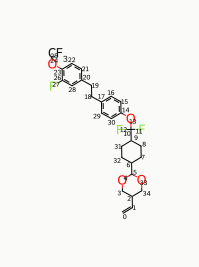 C=CC1COC(C2CCC(C(F)(F)Oc3ccc(CCc4ccc(OC(F)(F)F)c(F)c4)cc3)CC2)OC1